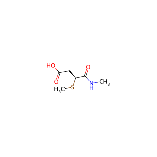 CNC(=O)[C@H](CC(=O)O)SC